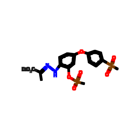 CCOC(=O)/C(C)=N/Nc1ccc(Oc2ccc(S(C)(=O)=O)cc2)cc1OS(C)(=O)=O